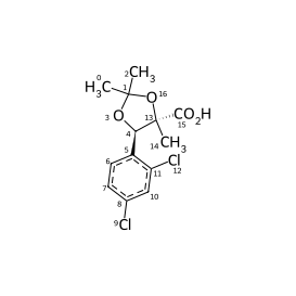 CC1(C)O[C@H](c2ccc(Cl)cc2Cl)[C@@](C)(C(=O)O)O1